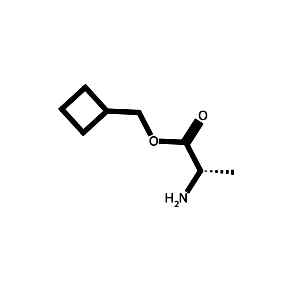 C[C@H](N)C(=O)OCC1CCC1